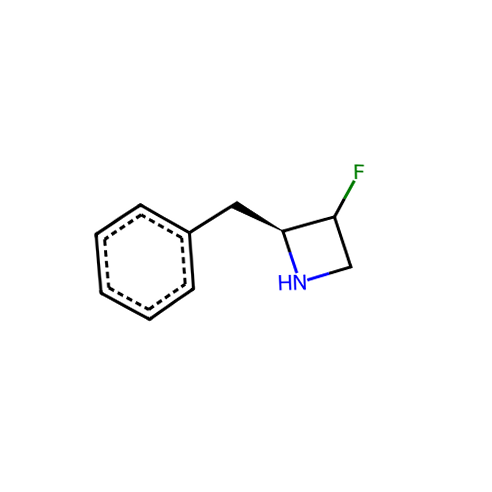 FC1CN[C@H]1Cc1ccccc1